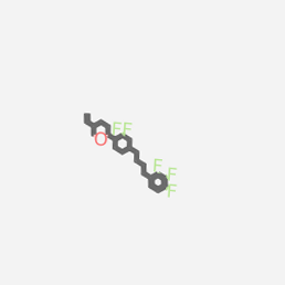 C=CC1CCC(C2CCC(CCCCc3ccc(F)c(F)c3F)CC2(F)F)OC1